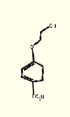 O=C(O)C1=CC=C(OCCO)CC1